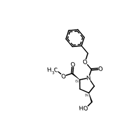 COC(=O)[C@@H]1C[C@H](CO)CN1C(=O)OCc1ccccc1